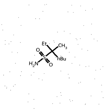 CCCCC(C)(CC)S(N)(=O)=O